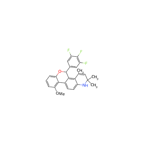 COc1cccc2c1-c1ccc3c(c1C(c1cc(F)c(F)c(F)c1)O2)C(C)=CC(C)(C)N3